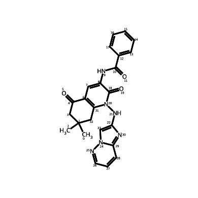 CC1(C)CC(=O)c2cc(NC(=O)c3ccccc3)c(=O)n(Nc3cn4ncccc4n3)c2C1